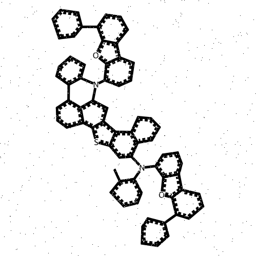 Cc1ccccc1N(c1cc2sc3c4cccc5c4c(cc3c2c2ccccc12)N(c1cccc2c1oc1c(-c3ccccc3)cccc12)c1ccccc1-5)c1cccc2c1oc1c(-c3ccccc3)cccc12